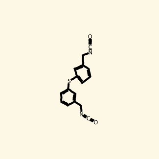 O=C=NCc1cccc(Sc2cccc(CN=C=O)c2)c1